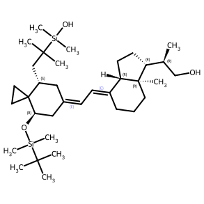 C[C@@H](CO)[C@H]1CC[C@H]2/C(=C/C=C3\C[C@@H](CC(C)(C)[Si](C)(C)O)C4(CC4)[C@H](O[Si](C)(C)C(C)(C)C)C3)CCC[C@]12C